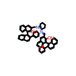 Oc1c(/C=N/C2CCCC[C@H]2NCc2cc3ccccc3c(-c3c(-c4ccccc4)ccc4ccccc34)c2O)cc2ccccc2c1-c1c(-c2ccccc2)ccc2ccccc12